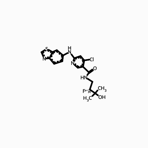 CC(C)(O)[C@H](F)CNC(=O)c1cnc(Nc2ccc3ncsc3c2)cc1Cl